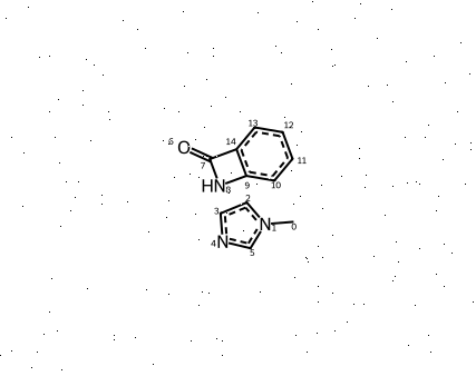 Cn1ccnc1.O=C1Nc2ccccc21